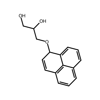 OCC(O)COC1C=Cc2cccc3cccc1c23